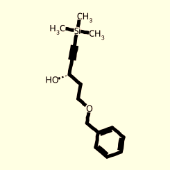 C[Si](C)(C)C#C[C@@H](O)CCOCc1ccccc1